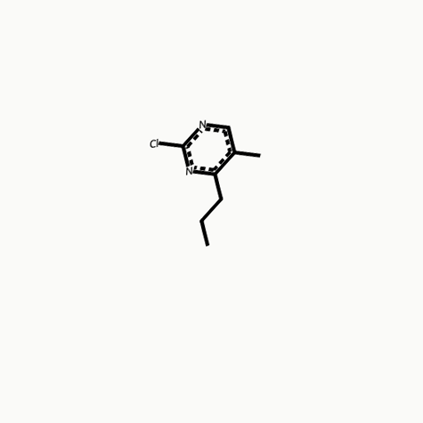 CCCc1nc(Cl)ncc1C